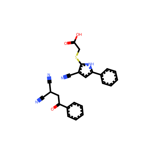 N#CC(C#N)CC(=O)c1ccccc1.N#Cc1cc(-c2ccccc2)[nH]c1SCC(=O)O